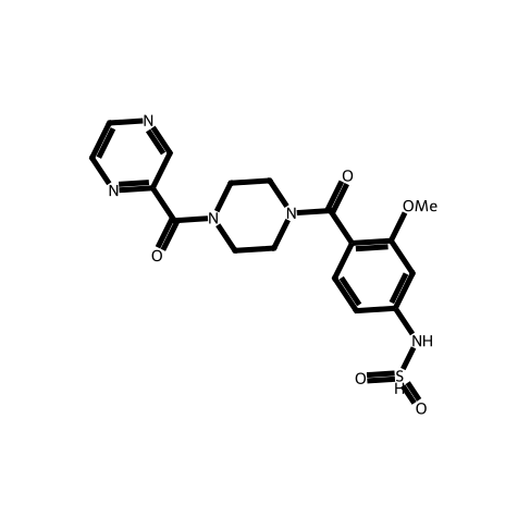 COc1cc(N[SH](=O)=O)ccc1C(=O)N1CCN(C(=O)c2cnccn2)CC1